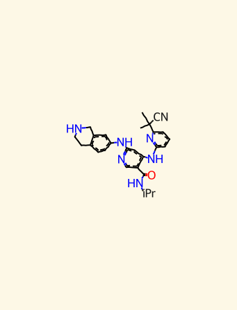 CC(C)NC(=O)c1cnc(Nc2ccc3c(c2)CNCC3)cc1Nc1cccc(C(C)(C)C#N)n1